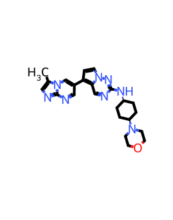 Cc1cnc2ncc(-c3ccn4nc(N[C@H]5CC[C@H](N6CCOCC6)CC5)ncc34)cn12